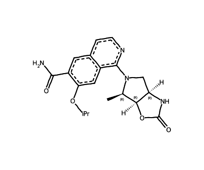 CC(C)Oc1cc2c(N3C[C@H]4NC(=O)O[C@H]4[C@H]3C)nccc2cc1C(N)=O